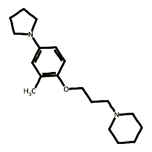 Cc1cc(N2CCCC2)ccc1OCCCN1CCCCC1